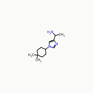 CC(N)c1cn(C2CCC(C)(C)CC2)cn1